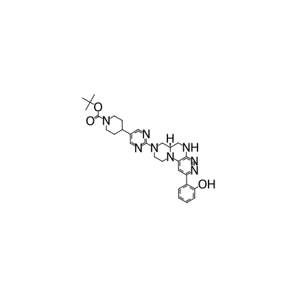 CC(C)(C)OC(=O)N1CCC(c2cnc(N3CCN4c5cc(-c6ccccc6O)nnc5NC[C@H]4C3)nc2)CC1